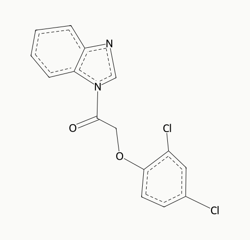 O=C(COc1ccc(Cl)cc1Cl)n1cnc2ccccc21